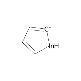 [C-]1=CC=[CH][InH]1